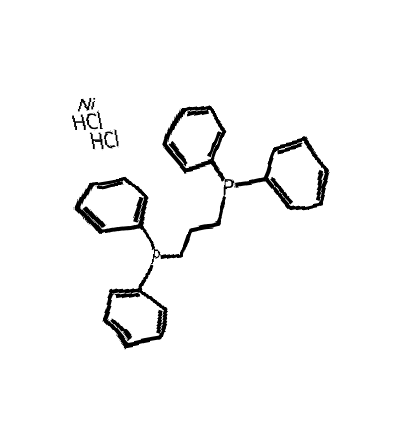 Cl.Cl.[Ni].c1ccc(P(CCCP(c2ccccc2)c2ccccc2)c2ccccc2)cc1